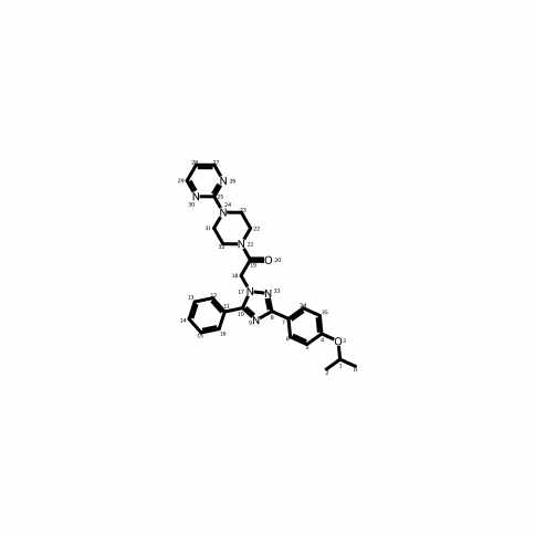 CC(C)Oc1ccc(-c2nc(-c3ccccc3)n(CC(=O)N3CCN(c4ncccn4)CC3)n2)cc1